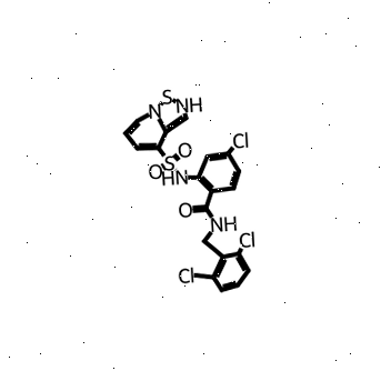 O=C(NCc1c(Cl)cccc1Cl)c1ccc(Cl)cc1NS(=O)(=O)C1=CC=CN2SNC=C12